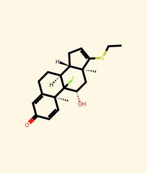 CCSC1=CC[C@H]2[C@@H]3CCC4=CC(=O)C=C[C@]4(C)C3(F)[C@@H](O)C[C@]12C